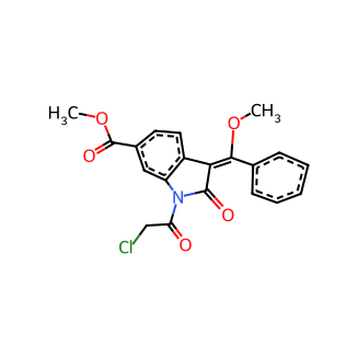 COC(=O)c1ccc2c(c1)N(C(=O)CCl)C(=O)C2=C(OC)c1ccccc1